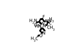 CCOc1cc(Nc2nc(NC(C)C(C)N)c(F)cc2C(N)=O)ccn1